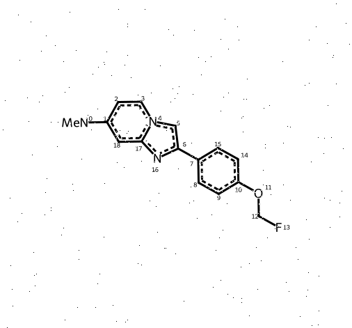 CNc1ccn2cc(-c3ccc(OCF)cc3)nc2c1